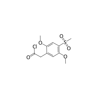 COc1cc(S(C)(=O)=O)c(OC)cc1CC(=O)Cl